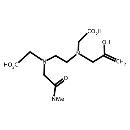 C=C(O)CN(CCN(CC(=O)O)CC(=O)NC)CC(=O)O